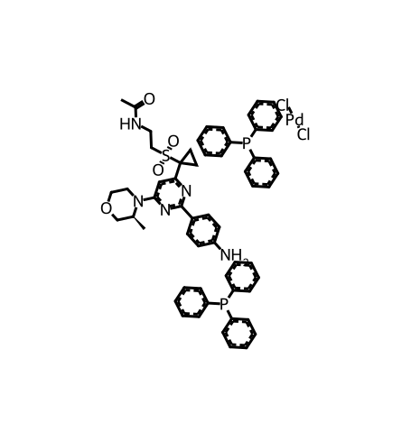 CC(=O)NCCS(=O)(=O)C1(c2cc(N3CCOC[C@@H]3C)nc(-c3ccc(N)cc3)n2)CC1.[Cl][Pd][Cl].c1ccc(P(c2ccccc2)c2ccccc2)cc1.c1ccc(P(c2ccccc2)c2ccccc2)cc1